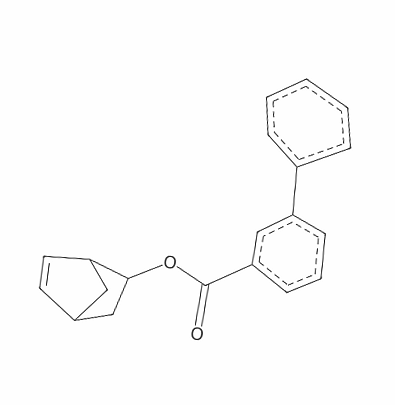 O=C(OC1CC2C=CC1C2)c1cccc(-c2ccccc2)c1